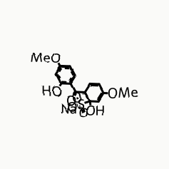 COC1=CC(O)(S(=O)(=O)[O-])C(C(=O)c2ccc(OC)cc2O)C=C1.[Na+]